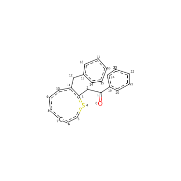 O=C(Cc1sccccccc1Cc1ccccc1)c1ccccc1